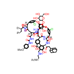 CC[C@H](CC(C)C)C(=O)N[C@H]1C(=O)C[C@@H](CC(=O)NC(=O)Nc2ccc(OC)cc2)C(=O)N[C@H]2C(=O)C[C@H]3C(=O)N[C@H](C(=O)N[C@H](C(=O)CC4C5CC6CC(C5)CC4C6)c4cc(O)c(CNCCNC(C)=O)c5c4-c4cc3ccc4C5(O)O)[C@H](O)c3ccc(c(Cl)c3)Oc3cc2cc(c3O[C@@H]2O[C@H](CO)[C@@H](O)[C@H](O)[C@H]2O[C@H]2C[C@](C)(N)[C@H](O)[C@H](C)O2)Oc2ccc(cc2Cl)[C@H]1O